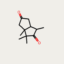 CC1C(=O)C(C)(C)C2(C)CC(=O)CC12